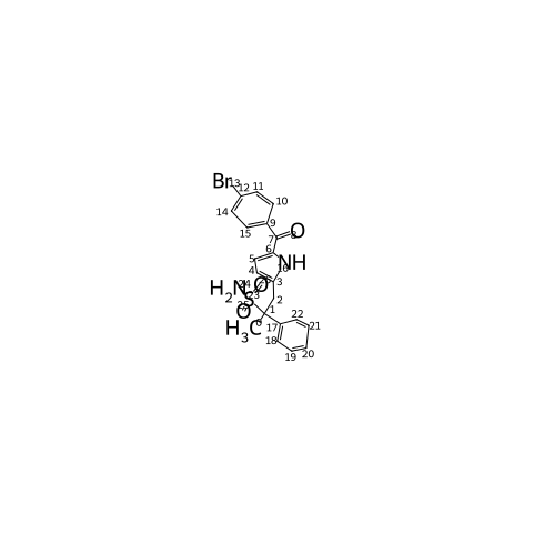 CC(Cc1ccc(C(=O)c2ccc(Br)cc2)[nH]1)(c1ccccc1)S(N)(=O)=O